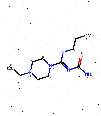 COCCN/C(=N\C(N)=O)N1CCN(CC(C)(C)C)CC1